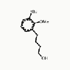 COc1c(CCCCO)cccc1C(C)(C)C